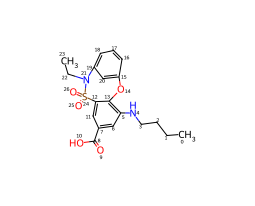 CCCCNc1cc(C(=O)O)cc2c1Oc1cccc(c1)N(CC)S2(=O)=O